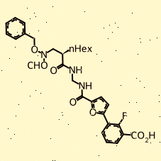 CCCCCC[C@H](CN(C=O)OCc1ccccc1)C(=O)NCNC(=O)c1ccc(-c2cccc(C(=O)O)c2F)o1